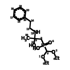 CCOC(OCC)P(=O)(O)CC(C)(O)NCCc1ccccc1